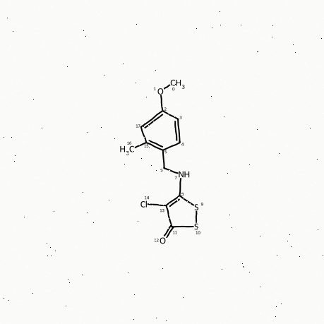 COc1ccc(CNc2ssc(=O)c2Cl)c(C)c1